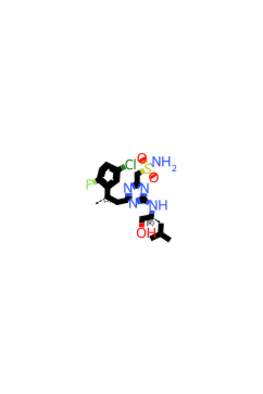 CC(C)C[C@H](CO)Nc1nc(C[C@H](C)c2cc(Cl)ccc2F)nc(CS(N)(=O)=O)n1